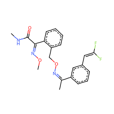 CNC(=O)/C(=N/OC)c1ccccc1CON=C(C)c1cccc(C=C(F)F)c1